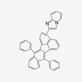 c1ccc(-c2c3c(c(-c4ccccc4)c4ccccc24)-c2ccc(-c4cn5ccccc5n4)c4cccc-3c24)cc1